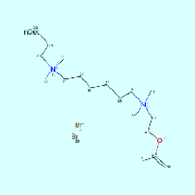 C=C(C)OCC[N+](C)(C)CCCCCC[N+](C)(C)CCCCCCCCCCCC.[Br-].[Br-]